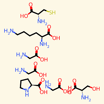 NCC(=O)O.NCC(=O)O.NCC(=O)O.NCCCC[C@H](N)C(=O)O.N[C@@H](CO)C(=O)O.N[C@@H](CS)C(=O)O.O=C(O)[C@@H]1CCCN1